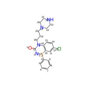 O=C1N=S(c2ccccc2)c2cc(Cl)ccc2N1CCCN1CCNCC1